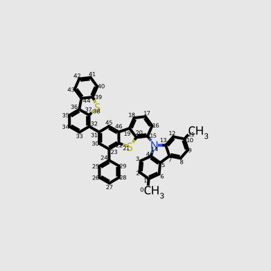 Cc1ccc2c(c1)c1ccc(C)cc1n2-c1cccc2c1sc1c(-c3ccccc3)cc(-c3cccc4c3sc3ccccc34)cc12